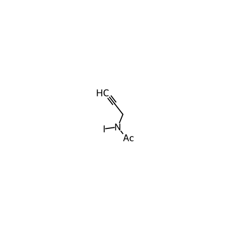 C#CCN(I)C(C)=O